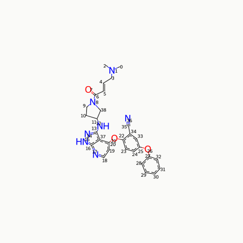 CN(C)C/C=C/C(=O)N1CCC(Nc2n[nH]c3nccc(Oc4ccc(Oc5ccccc5)cc4C#N)c23)C1